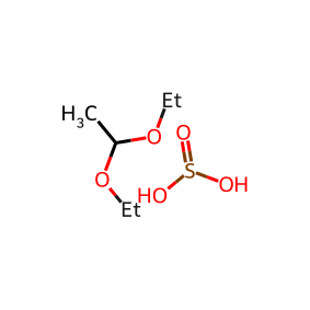 CCOC(C)OCC.O=S(O)O